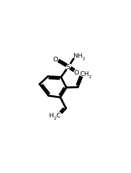 C=Cc1cccc(S(N)(=O)=O)c1C=C